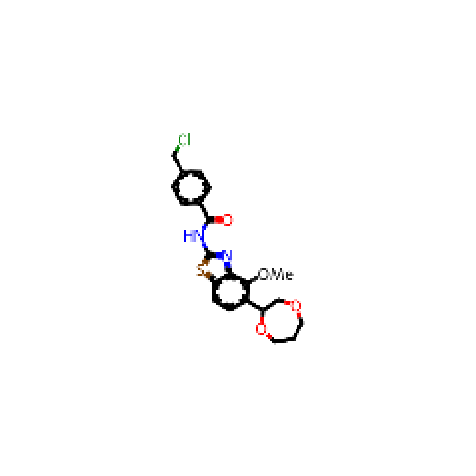 COc1c(C2COCCCO2)ccc2sc(NC(=O)c3ccc(CCl)cc3)nc12